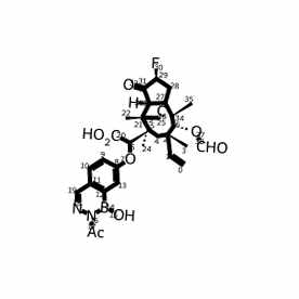 C=C[C@]1(C)C[C@@H](C(Oc2ccc3c(c2)B(O)N(C(C)=O)N=C3)C(=O)O)[C@@]2(C)[C@H](C)CC[C@]3(C[C@H](F)C(=O)[C@H]32)[C@@H](C)[C@@H]1OC=O